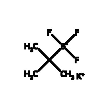 CC(C)(C)[B-](F)(F)F.[K+]